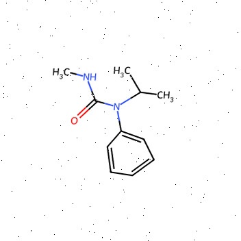 CNC(=O)N(c1ccccc1)C(C)C